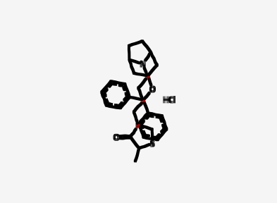 CC1SCN(CCCCN2C3CCC2CC(OC(c2ccccc2)c2ccccc2)C3)C1=O.Cl